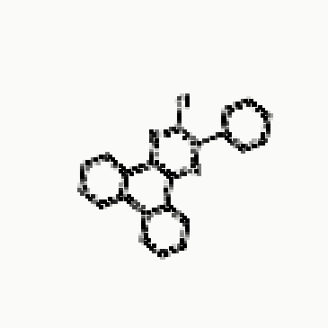 Clc1nc2c3ccccc3c3ccccc3c2nc1-c1ccccc1